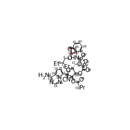 CCC(CC)COC(=O)C1(N[P@@](=O)(OC[C@H]2O[C@@](C#N)(c3ccc4c(N)ncnn34)[C@H](OC(=O)C(C)C)[C@@H]2OC(=O)C(C)C)Oc2ccccc2)CCC1